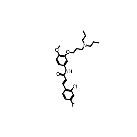 CCCN(CCC)CCCOc1cc(NC(=O)C=Cc2ccc(F)cc2Cl)ccc1OC